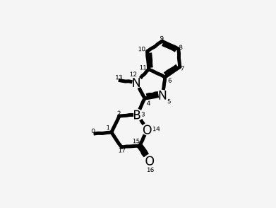 CC1CB(c2nc3ccccc3n2C)OC(=O)C1